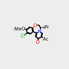 COc1cc2c(cc1Cl)-c1cc(=O)c(C(C)=O)cn1[C@H](C(C)C)CO2